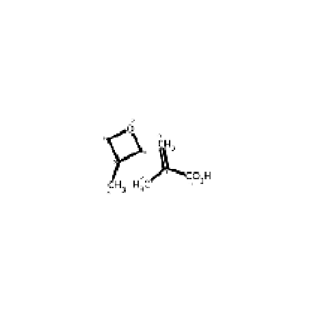 C=C(C)C(=O)O.CC1COC1